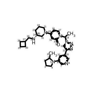 CC1CCCN1c1cncc(-c2cn(C(C)n3ccc(N4CCC[C@@H](NCC5CCC5)C4)cc3=O)nn2)c1